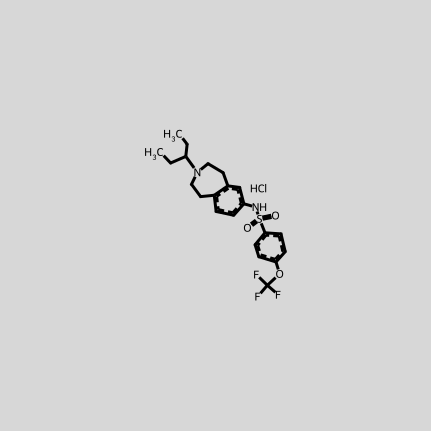 CCC(CC)N1CCc2ccc(NS(=O)(=O)c3ccc(OC(F)(F)F)cc3)cc2CC1.Cl